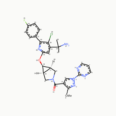 COc1nn(-c2ncccn2)cc1C(=O)N1C[C@@H]2[C@H](C1)[C@@H]2Oc1cc(C(C)(C)N)c(Cl)c(-c2ccc(F)cc2)n1